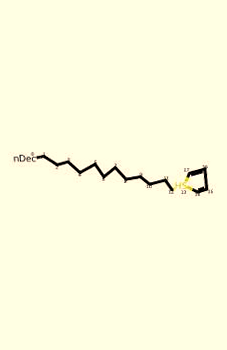 CCCCCCCCCCCCCCCCCCCCCC[SH]1C=CC=C1